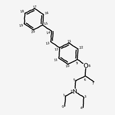 CCN(CC)CC(C)Oc1ccc(C=Cc2ccccc2)cc1